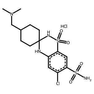 CN(C)CC1CCC2(CC1)Nc1cc(Cl)c(S(N)(=O)=O)cc1S(=O)(=O)N2.Cl